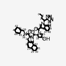 CCCC(c1nnn[nH]1)n1cc(C(=O)N2C[C@H](O)C[C@H]2C(=O)N[C@@H](Cc2ccc3ccccc3c2)C(=O)N(C)Cc2ccccc2)c2ccccc21